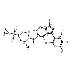 Cc1c(F)cc(F)c(-c2cc(F)c3cnc(N[C@@H]4CCN(S(=O)(=O)C5CC5)C[C@H]4O)nn23)c1F